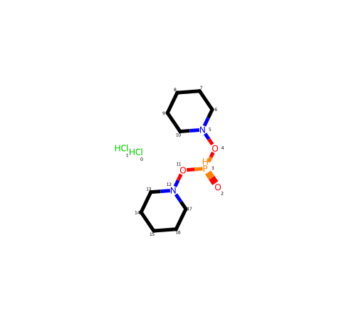 Cl.Cl.O=[PH](ON1CCCCC1)ON1CCCCC1